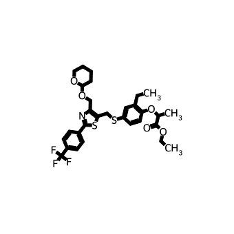 CCOC(=O)C(C)Oc1ccc(SCc2sc(-c3ccc(C(F)(F)F)cc3)nc2COC2CCCCO2)cc1CC